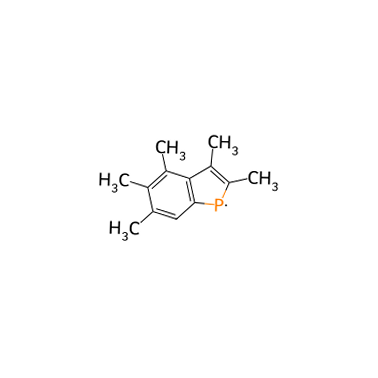 CC1=C(C)c2c(cc(C)c(C)c2C)[P]1